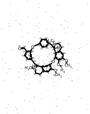 COc1cc2c3cc1Oc1c(OC)c(OC)cc4c1[C@H](Cc1ccc(cc1)Oc1cc(ccc1C=O)C[C@H]3N(C)CC2)N(C)CC4